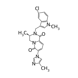 Cc1cn(-c2ccc3n(c2=O)C[C@@H](C)N(Cc2cn(C)c4ccc(Cl)cc24)C3=O)cn1